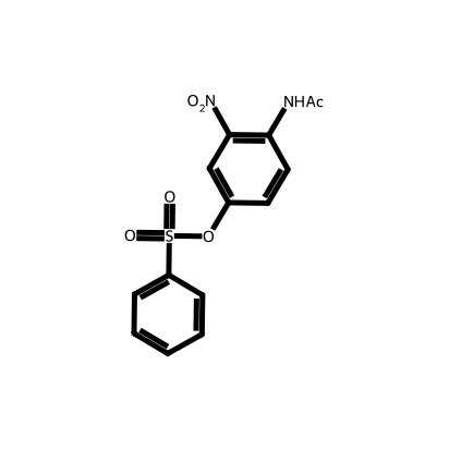 CC(=O)Nc1ccc(OS(=O)(=O)c2ccccc2)cc1[N+](=O)[O-]